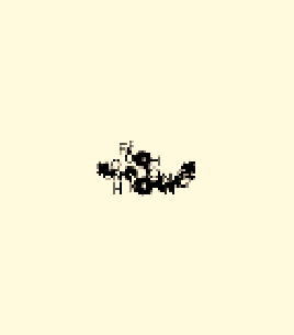 CC(C)(C)OC(=O)N[C@@H]1C[C@H](c2c(CO)cccc2OC(F)F)n2c1nc1ccc(-c3cnc(C(C)(C)O[Si](C)(C)C(C)(C)C)nc3)cc12